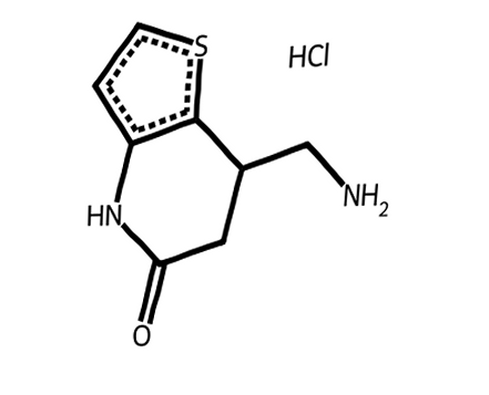 Cl.NCC1CC(=O)Nc2ccsc21